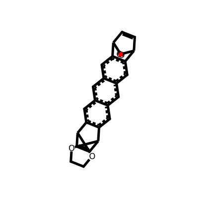 C1=CC2c3cc4cc5cc6c(cc5cc4cc3C1C21OCCO1)C1C=CC6C12OCCO2